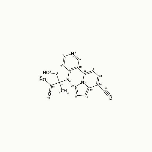 CC(CO)(Sc1ccncc1-c1ccc(C#N)c2cccn12)C(=O)O